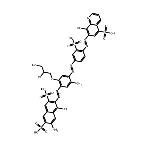 Cc1cc(/N=N/c2c(S(=O)(=O)O)cc3cc(S(=O)(=O)O)c(N)cc3c2O)c(OCC(O)CO)cc1/N=N/c1ccc(/N=N/c2cc(S(=O)(=O)O)c3cccnc3c2O)c(S(=O)(=O)O)c1